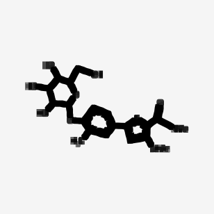 CNC(=O)c1sc(-c2ccc(OC3OC(CO)C(O)C(O)C3O)c(C)c2)cc1NC(C)=O